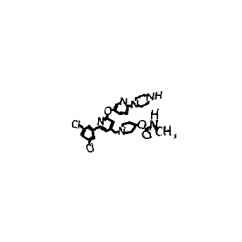 CNC(=O)OC1CCN(Cc2cc(Oc3ccc(N4CCNCC4)nc3)nc(-c3cc(Cl)cc(Cl)c3)c2)CC1